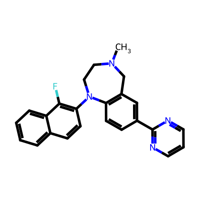 CN1CCN(c2ccc3ccccc3c2F)c2ccc(-c3ncccn3)cc2C1